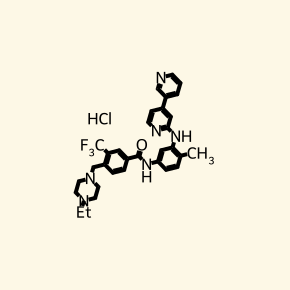 CCN1CCN(Cc2ccc(C(=O)Nc3ccc(C)c(Nc4cc(-c5cccnc5)ccn4)c3)cc2C(F)(F)F)CC1.Cl